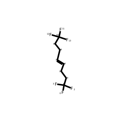 FC(F)(F)CCC=CCCC(F)(F)F